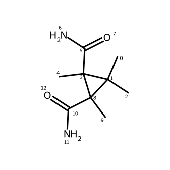 CC1(C)C(C)(C(N)=O)C1(C)C(N)=O